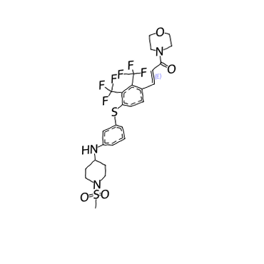 CS(=O)(=O)N1CCC(Nc2cccc(Sc3ccc(/C=C/C(=O)N4CCOCC4)c(C(F)(F)F)c3C(F)(F)F)c2)CC1